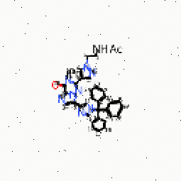 CC(=O)NCCn1cc(-c2nn3c(-c4cn(C(c5ccccc5)(c5ccccc5)c5ccccc5)cn4)cnc3c(=O)n2C(C)C)cn1